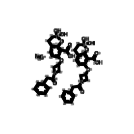 O=C(O)c1c(OC2CN(C(=O)Cc3ccccc3)C2)ccc2c1O[B-](O)(O)CC2.O=C(O)c1c(OC2CN(C(=O)Cc3ccccc3)C2)ccc2c1O[B-](O)(O)CC2.[Na+].[Na+]